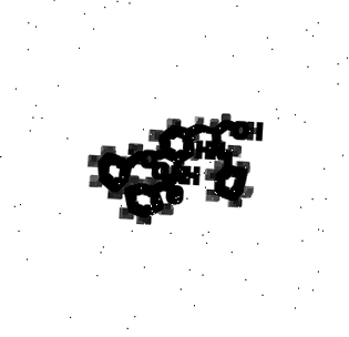 O=S(=O)(Nc1cc(C[C@@H](CO)NCc2ccccc2)ccc1OCc1ccccc1)c1ccccc1